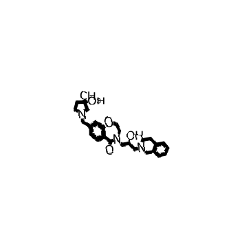 CC1(O)CCN(Cc2ccc3c(c2)OCCN(C[C@H](O)CN2CCc4ccccc4C2)C3=O)C1